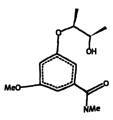 CNC(=O)c1cc(OC)cc(O[C@@H](C)[C@H](C)O)c1